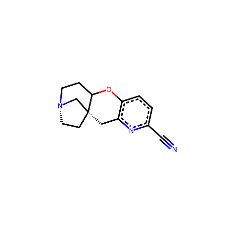 N#Cc1ccc2c(n1)C[C@@]13CC[N@](CCC1O2)C3